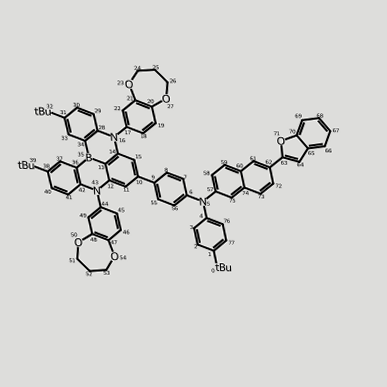 CC(C)(C)c1ccc(N(c2ccc(-c3cc4c5c(c3)N(c3ccc6c(c3)OCCCO6)c3ccc(C(C)(C)C)cc3B5c3cc(C(C)(C)C)ccc3N4c3ccc4c(c3)OCCCO4)cc2)c2ccc3cc(-c4cc5ccccc5o4)ccc3c2)cc1